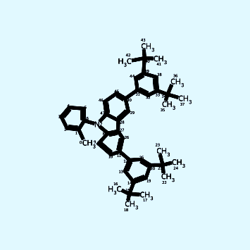 Cc1ccccc1-n1c2ccc(-c3cc(C(C)(C)C)cc(C(C)(C)C)c3)cc2c2cc(-c3cc(C(C)(C)C)cc(C(C)(C)C)c3)ccc21